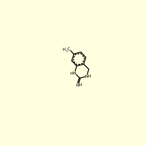 Cc1ccc2c(c1)NC(=N)NC2